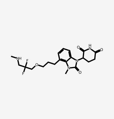 CNCC(F)(F)COCCCc1cccc2c1n(C)c(=O)n2C1CCC(=O)NC1=O